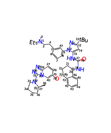 CCN(C)CCc1cccc(-n2nc(C(C)(C)C)cc2NC(=O)N[C@H]2CC[C@@H](Oc3ccc4nnc(N5CCCC[C@@H]5C)n4c3)c3ccccc32)c1